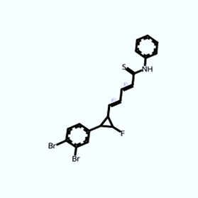 FC1C(/C=C/C=C/C(=S)Nc2ccccc2)C1c1ccc(Br)c(Br)c1